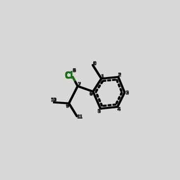 Cc1ccccc1C(Cl)C(C)C